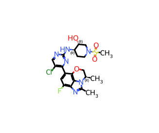 Cc1nc2c(F)cc(-c3nc(N[C@@H]4CCN(S(C)(=O)=O)C[C@H]4O)ncc3Cl)c3c2n1[C@H](C)CO3